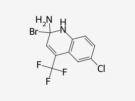 NC1(Br)C=C(C(F)(F)F)c2cc(Cl)ccc2N1